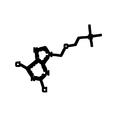 C[Si](C)(C)CCOCn1cnc2c(Cl)nc(Cl)nc21